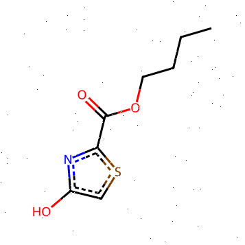 CCCCOC(=O)c1nc(O)cs1